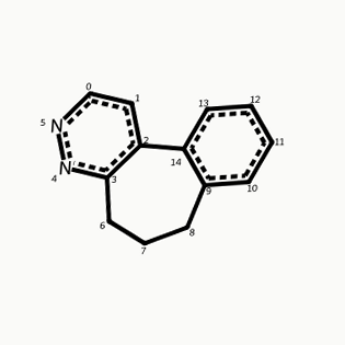 [c]1cc2c(nn1)CCCc1ccccc1-2